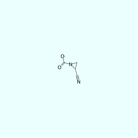 N#CC1CN1C([O])=O